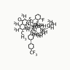 [2H]c1c(C)c([2H])c2c(c1[2H])c(=O)c([2H])c(SCc1cccc(F)c1F)n2C([2H])([2H])C(=O)N(Cc1ccc(-c2ccc(C(F)(F)F)cc2)cc1)C1([2H])C([2H])([2H])C([2H])([2H])N(C([2H])([2H])COC([2H])([2H])[2H])C([2H])([2H])C1([2H])[2H]